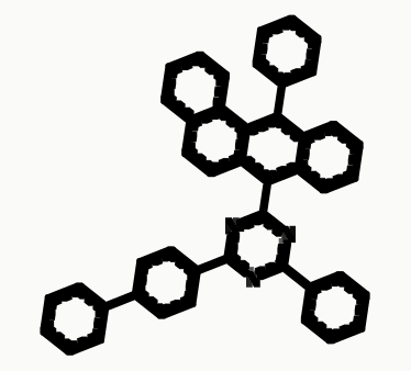 c1ccc(-c2ccc(-c3nc(-c4ccccc4)nc(-c4c5ccccc5c(-c5ccccc5)c5c4ccc4ccccc45)n3)cc2)cc1